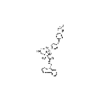 O=C(OCC1c2ccccc2-c2ccccc21)N(O)C(=O)C1(S(=O)(=O)c2ccc(Oc3ccc(OC(F)(F)F)cc3)cc2)CCNCC1